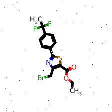 CCOC(=O)c1sc(-c2ccc(C(C)(F)F)cc2)nc1CBr